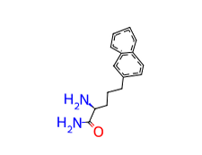 NC(=O)[C@@H](N)CCCc1ccc2ccccc2c1